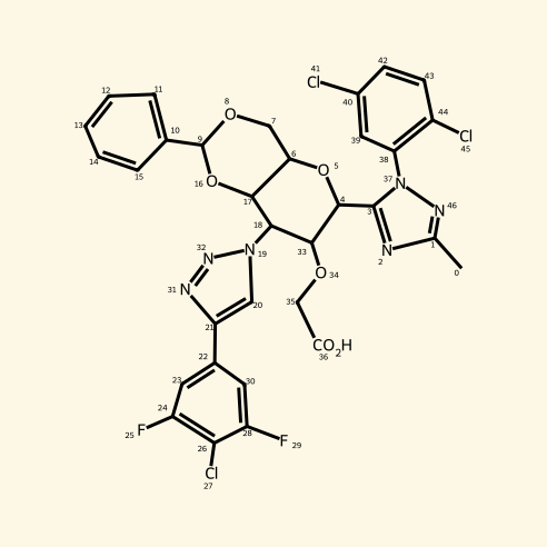 Cc1nc(C2OC3COC(c4ccccc4)OC3C(n3cc(-c4cc(F)c(Cl)c(F)c4)nn3)C2OCC(=O)O)n(-c2cc(Cl)ccc2Cl)n1